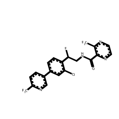 O=C(NCC(F)c1ccc(-c2ccc(C(F)(F)F)nc2)cc1Cl)c1nccnc1C(F)(F)F